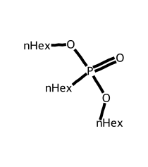 CCCCCCOP(=O)(CCCCCC)OCCCCCC